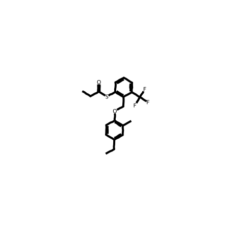 CCC(=O)Sc1cccc(C(F)(F)F)c1COc1ccc(CC)cc1C